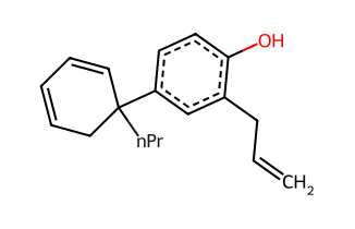 C=CCc1cc(C2(CCC)C=CC=CC2)ccc1O